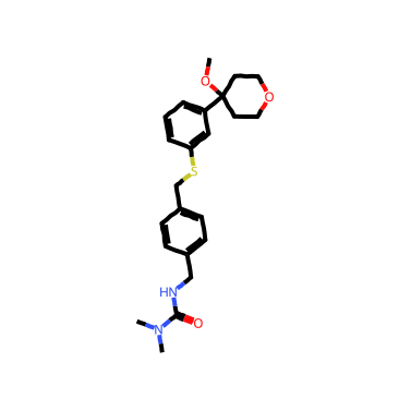 COC1(c2cccc(SCc3ccc(CNC(=O)N(C)C)cc3)c2)CCOCC1